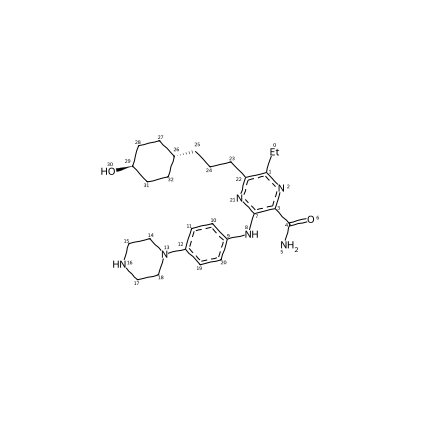 CCc1nc(C(N)=O)c(Nc2ccc(N3CCNCC3)cc2)nc1CCC[C@H]1CC[C@H](O)CC1